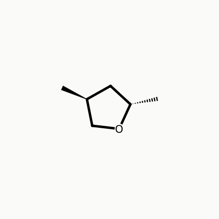 C[C@@H]1CO[C@@H](C)C1